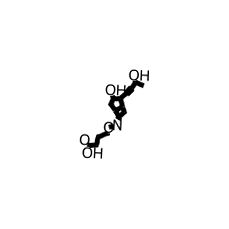 CC(O)C#CC1C(O)CC2C(=NOCCCC(=O)O)CC21